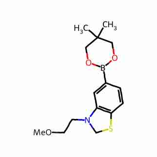 COCCN1CSc2ccc(B3OCC(C)(C)CO3)cc21